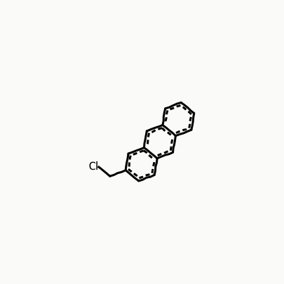 ClCc1ccc2cc3ccccc3cc2c1